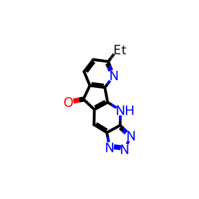 CCc1ccc2c(n1)-c1[nH]c3nnnc-3cc1C2=O